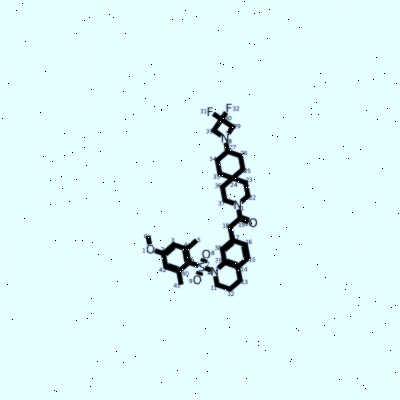 COc1cc(C)c(S(=O)(=O)N2CCCc3ccc(CC(=O)N4CCC5(CCC(N6CC(F)(F)C6)CC5)CC4)cc32)c(C)c1